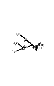 CCCCCCCCCOC(=O)CCCCCCCN(CCCCCCCC(=O)OC(CCCCCCCC)CCCCCCCC)CCCNC1=C(NCCN(C)C)C(O)C1=O